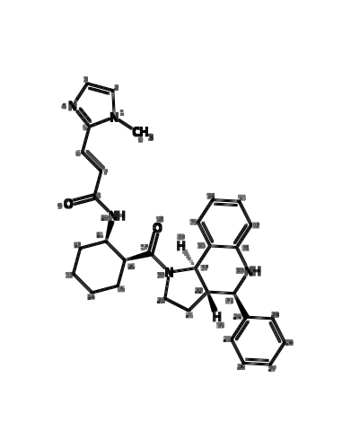 Cn1ccnc1/C=C/C(=O)N[C@@H]1CCCC[C@@H]1C(=O)N1CC[C@H]2[C@H](c3ccccc3)Nc3ccccc3[C@@H]21